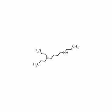 CCCNCCCCN(CCC)CCN